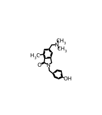 Cc1cc(CN(C)C)cc2c1C(=O)N(Cc1ccc(O)cc1)C2